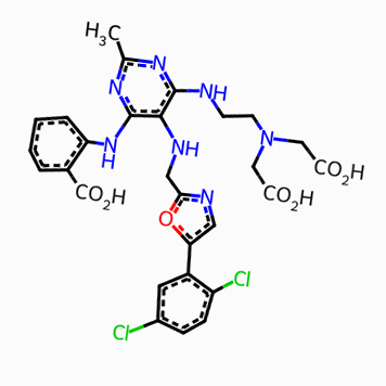 Cc1nc(NCCN(CC(=O)O)CC(=O)O)c(NCc2ncc(-c3cc(Cl)ccc3Cl)o2)c(Nc2ccccc2C(=O)O)n1